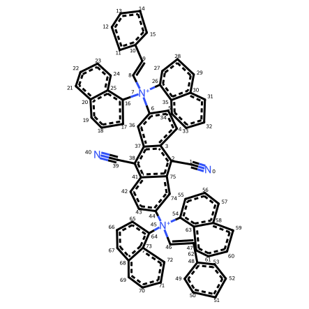 N#Cc1c2ccc([N+](C=Cc3ccccc3)(c3cccc4ccccc34)c3cccc4ccccc34)cc2c(C#N)c2ccc([N+](C=Cc3ccccc3)(c3cccc4ccccc34)c3cccc4ccccc34)cc12